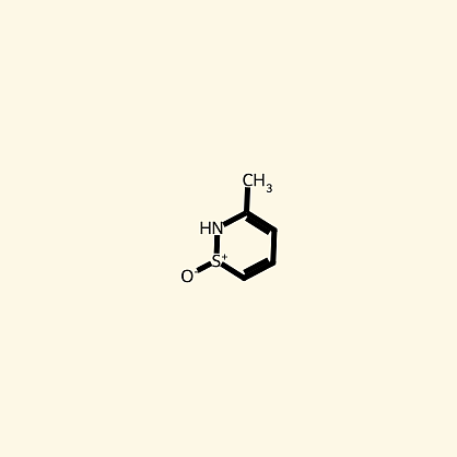 CC1=CC=C[S+]([O-])N1